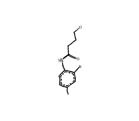 Cc1ccc(NC(=O)CCCCl)c(Br)c1